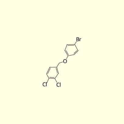 Clc1ccc(COc2ccc(Br)cc2)cc1Cl